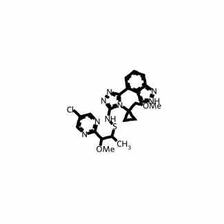 COCC1(n2c(NSC(C)C(OC)c3ncc(Cl)cn3)nnc2-c2cccc3n[nH]cc23)CC1